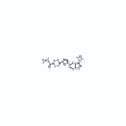 O=C(C1CC12CC2)N1CCN(c2nnc(-c3ccc4cnn(C5COC5)c4c3)o2)CC1